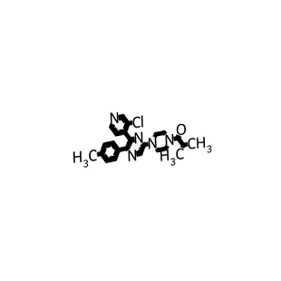 Cc1ccc(-c2ncc(N3CCN(C(=O)C(C)C)CC3)nc2-c2ccncc2Cl)cc1